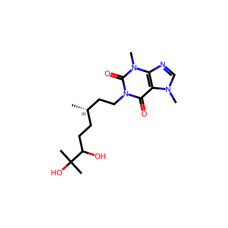 C[C@@H](CCC(O)C(C)(C)O)CCn1c(=O)c2c(ncn2C)n(C)c1=O